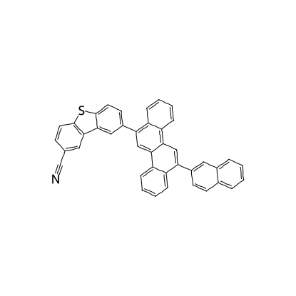 N#Cc1ccc2sc3ccc(-c4cc5c6ccccc6c(-c6ccc7ccccc7c6)cc5c5ccccc45)cc3c2c1